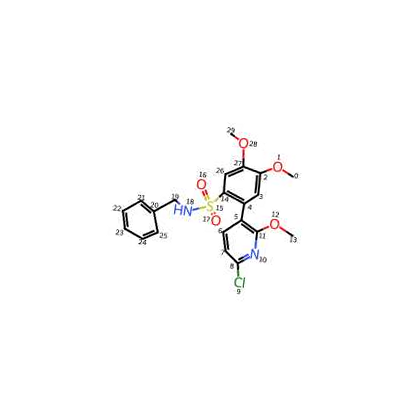 COc1cc(-c2ccc(Cl)nc2OC)c(S(=O)(=O)NCc2ccccc2)cc1OC